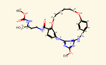 CCOc1nc2nc(n1)Nc1ccc(C(=O)NCC[C@H](NC(=O)OC(C)(C)C)C(=O)O)c(c1)OCCCCCCOc1ccc(cc1)CN2